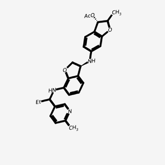 CCC(Nc1cccc2c1OC[C@H]2Nc1ccc2c(c1)OC(C)[C@H]2OC(C)=O)c1ccc(C)nc1